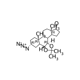 CC1(C)O[C@@H]2C3C(CC[C@]4(C)C(=O)CCC34)[C@@]3(C)CC[C@@H](N=[N+]=[N-])CC3[C@H]2O1